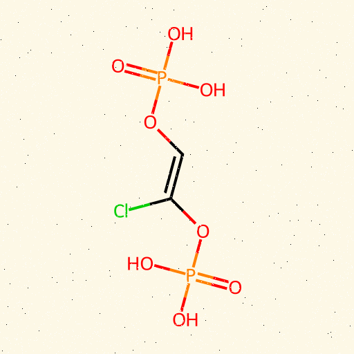 O=P(O)(O)O/C=C(\Cl)OP(=O)(O)O